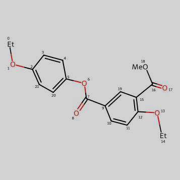 CCOc1ccc(OC(=O)c2ccc(OCC)c(C(=O)OC)c2)cc1